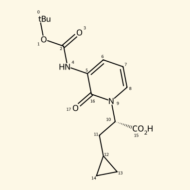 CC(C)(C)OC(=O)Nc1cccn([C@@H](CC2CC2)C(=O)O)c1=O